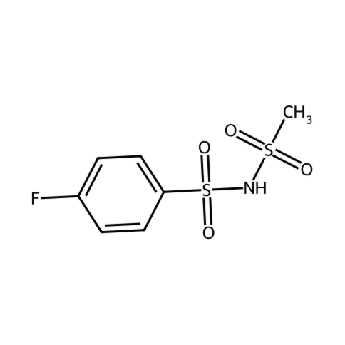 CS(=O)(=O)NS(=O)(=O)c1ccc(F)cc1